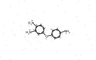 Nc1ccc(Oc2ccc([N+](=O)[O-])c(N)c2)cc1